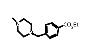 CCOC(=O)c1ccc(CN2CCN(C)CC2)cc1